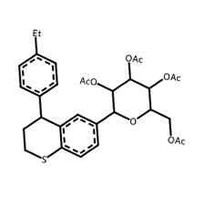 CCc1ccc(C2CCSc3ccc(C4OC(COC(C)=O)C(OC(C)=O)C(OC(C)=O)C4OC(C)=O)cc32)cc1